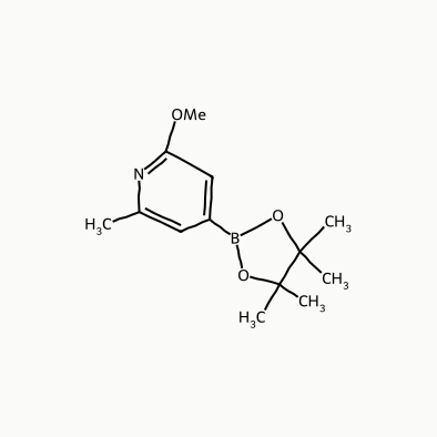 COc1cc(B2OC(C)(C)C(C)(C)O2)cc(C)n1